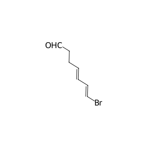 O=CCCC=CC=CBr